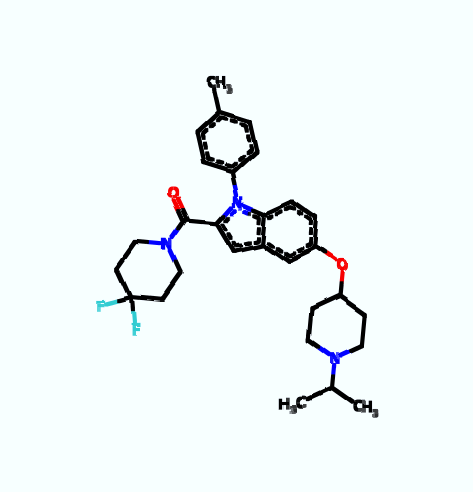 Cc1ccc(-n2c(C(=O)N3CCC(F)(F)CC3)cc3cc(OC4CCN(C(C)C)CC4)ccc32)cc1